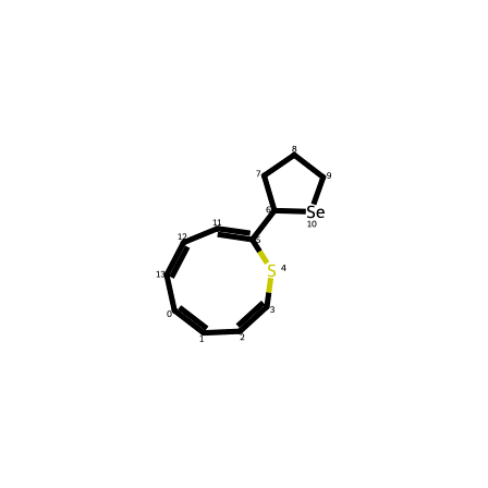 c1cccsc(C2CCC[Se]2)ccc1